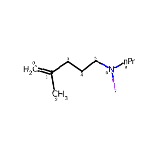 C=C(C)CCCN(I)CCC